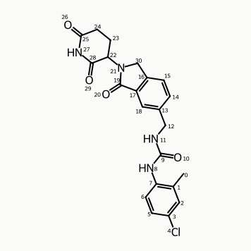 Cc1cc(Cl)ccc1NC(=O)NCc1ccc2c(c1)C(=O)N(C1CCC(=O)NC1=O)C2